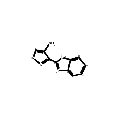 O=[N+]([O-])c1c[nH]nc1-c1nc2ccccc2[nH]1